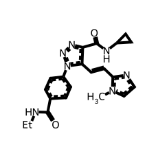 CCNC(=O)c1ccc(-n2nnc(C(=O)NC3CC3)c2C=Cc2nccn2C)cc1